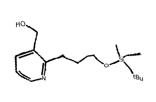 CC(C)(C)[Si](C)(C)OCCCc1ncccc1CO